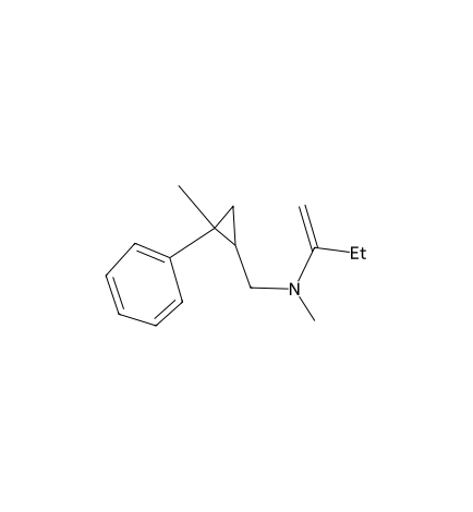 C=C(CC)N(C)CC1CC1(C)c1ccccc1